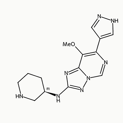 COc1c(-c2cn[nH]c2)ncn2nc(N[C@@H]3CCCNC3)nc12